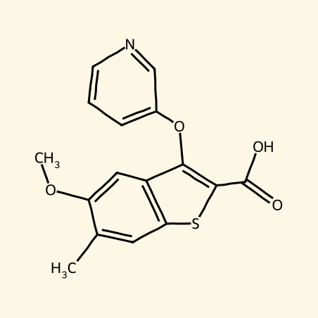 COc1cc2c(Oc3cccnc3)c(C(=O)O)sc2cc1C